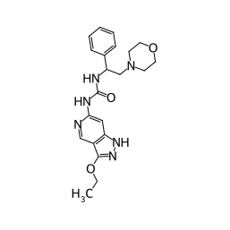 CCOc1n[nH]c2cc(NC(=O)NC(CN3CCOCC3)c3ccccc3)ncc12